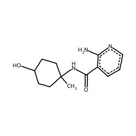 CC1(NC(=O)c2cccnc2N)CCC(O)CC1